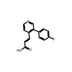 O=C(O)/C=C/c1ccncc1-c1ccc(F)cc1